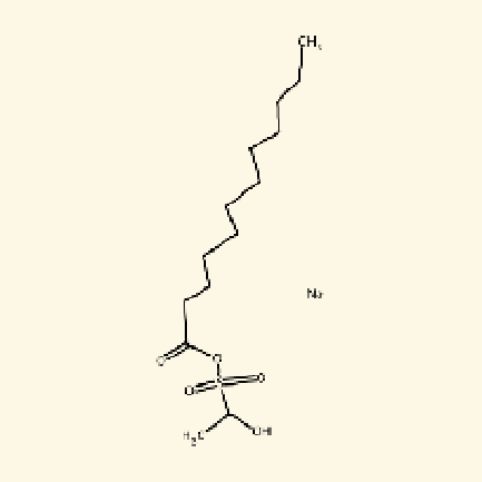 CCCCCCCCCCCC(=O)OS(=O)(=O)C(C)O.[Na]